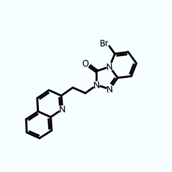 O=c1n(CCc2ccc3ccccc3n2)nc2cccc(Br)n12